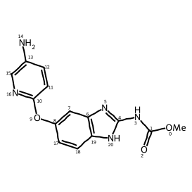 COC(=O)Nc1nc2cc(Oc3ccc(N)cn3)ccc2[nH]1